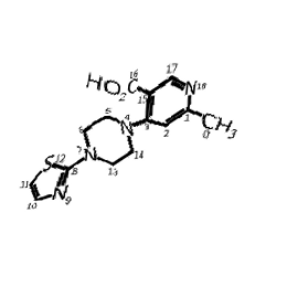 Cc1cc(N2CCN(c3nccs3)CC2)c(C(=O)O)cn1